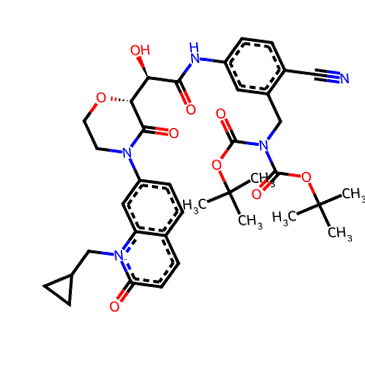 CC(C)(C)OC(=O)N(Cc1cc(NC(=O)[C@H](O)[C@H]2OCCN(c3ccc4ccc(=O)n(CC5CC5)c4c3)C2=O)ccc1C#N)C(=O)OC(C)(C)C